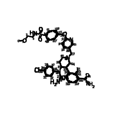 COCCNS(=O)(=O)c1ccc(Oc2ccc(CN3CCC(N(C(N)=O)c4ccc(Cl)cc4)C(c4cccc(C(N)=O)c4F)C3)cn2)cc1